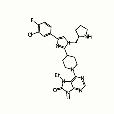 CCn1c(=O)[nH]c2ncnc(N3CCC(c4nc(-c5ccc(F)c(Cl)c5)cn4C[C@H]4CCCN4)CC3)c21